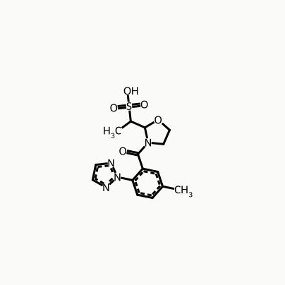 Cc1ccc(-n2nccn2)c(C(=O)N2CCOC2C(C)S(=O)(=O)O)c1